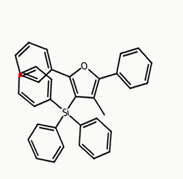 Cc1c(-c2ccccc2)oc(-c2ccccc2)c1[Si](c1ccccc1)(c1ccccc1)c1ccccc1